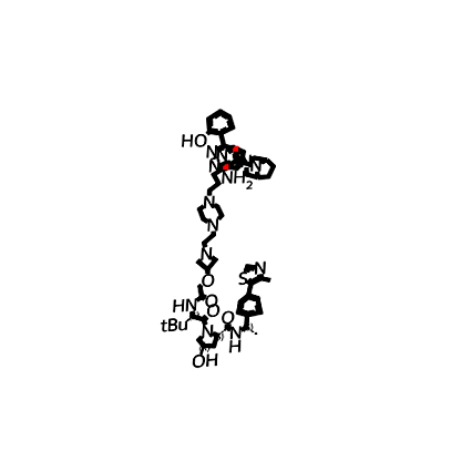 Cc1ncsc1-c1ccc([C@H](C)NC(=O)[C@@H]2C[C@@H](O)CN2C(=O)[C@@H](NC(=O)COC2CN(CCN3CCN(CCCc4cc(N5C6CCC5CN(c5cc(-c7ccccc7O)nnc5N)C6)ccn4)CC3)C2)C(C)(C)C)cc1